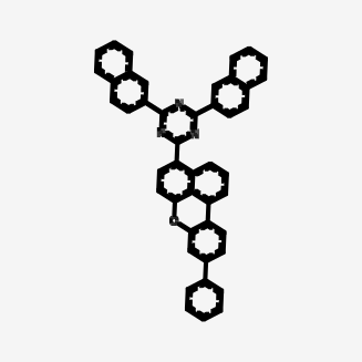 c1ccc(-c2ccc3c(c2)Oc2ccc(-c4nc(-c5ccc6ccccc6c5)nc(-c5ccc6ccccc6c5)n4)c4cccc-3c24)cc1